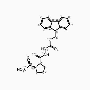 O=C(NNC(=O)C1CSCN1C(=O)C(=O)O)OCC1c2ccccc2-c2ccccc21